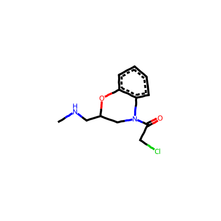 CNCC1CN(C(=O)CCl)c2ccccc2O1